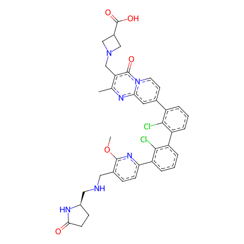 COc1nc(-c2cccc(-c3cccc(-c4ccn5c(=O)c(CN6CC(C(=O)O)C6)c(C)nc5c4)c3Cl)c2Cl)ccc1CNC[C@H]1CCC(=O)N1